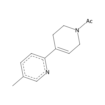 CC(=O)N1CC=C(c2ccc(C)cn2)CC1